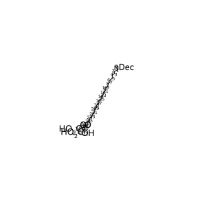 CCCCCCCCCCCCCCCCCCCCCCCCCCCCCCCCCCCCOC(=O)CC(O)(CC(=O)O)C(=O)O